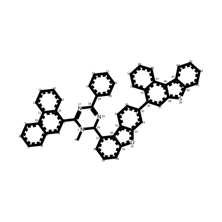 CN1C(c2cc3ccccc3c3ccccc23)=NC(c2ccccc2)=NC1c1cccc2oc3cc(-c4cc5sc6ccccc6c5c5ccccc45)ccc3c12